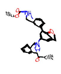 COC(=O)Cc1ccccc1CNc1cc(-c2cccc(CNC(=O)OC(C)(C)C)c2)c2occc2c1